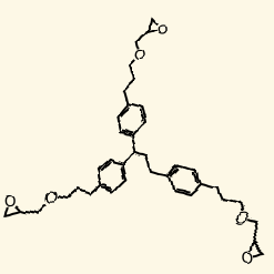 c1cc(CCC(c2ccc(CCCOCC3CO3)cc2)c2ccc(CCCOCC3CO3)cc2)ccc1CCCOCC1CO1